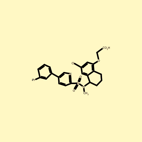 CC(C)c1cccc(-c2ccc(S(=O)(=O)N(C)C3CCCc4c(OCC(=O)O)cc(Cl)cc43)nc2)c1